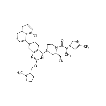 C=C(C(=O)N1CCN(c2nc(OC[C@@H]3CCCN3C)nc3c2CCN(c2cccc4cccc(Cl)c24)C3)C[C@@H]1CC#N)n1cnc(C(F)(F)F)c1